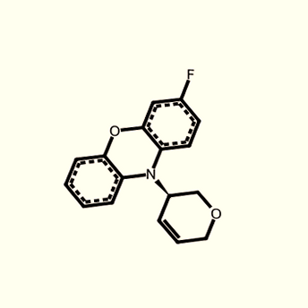 Fc1ccc2c(c1)Oc1ccccc1N2[C@@H]1C=CCOC1